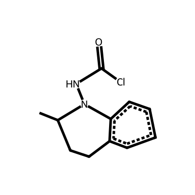 CC1CCc2ccccc2N1NC(=O)Cl